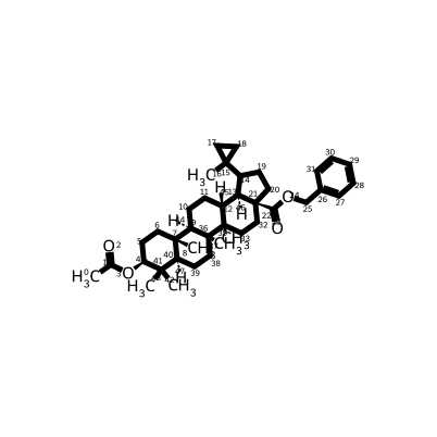 CC(=O)O[C@H]1CC[C@]2(C)[C@H]3CC[C@@H]4[C@H]5C(C6(C)CC6)CC[C@]5(C(=O)OCc5ccccc5)CC[C@@]4(C)[C@]3(C)CC[C@H]2C1(C)C